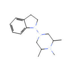 CC1CN(N2CCc3ccccc32)CC(C)N1C